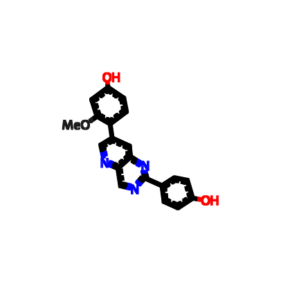 COc1cc(O)ccc1-c1cnc2cnc(-c3ccc(O)cc3)nc2c1